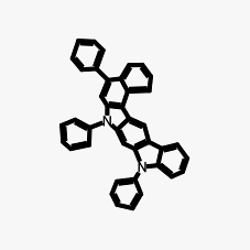 c1ccc(-c2cc3c(c4ccccc24)c2cc4c5ccccc5n(-c5ccccc5)c4cc2n3-c2ccccc2)cc1